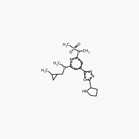 CC1CC1CN(C)c1cc(-c2nnc(C3CCCN3)o2)cc(N(C)S(C)(=O)=O)n1